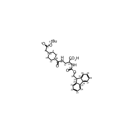 CC(C)(C)OC(=O)CN1CCN(C(=O)NCC(NC(=O)OCC2c3ccccc3-c3ccccc32)C(=O)O)CC1